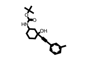 Cc1cccc(C#CC2(O)CCCC(NC(=O)OC(C)(C)C)C2)c1